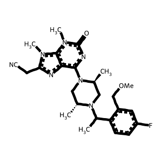 COCc1cc(F)ccc1C(C)N1C[C@H](C)N(c2nc(=O)n(C)c3c2nc(CC#N)n3C)C[C@H]1C